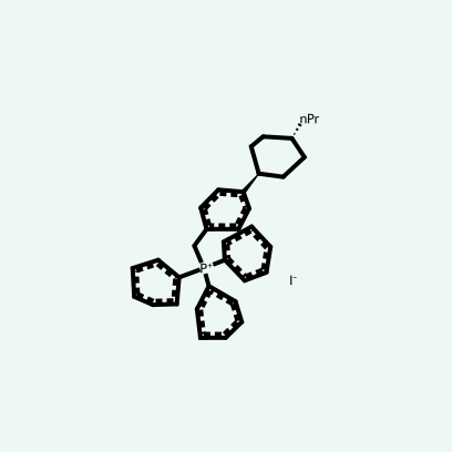 CCC[C@H]1CC[C@H](c2ccc(C[P+](c3ccccc3)(c3ccccc3)c3ccccc3)cc2)CC1.[I-]